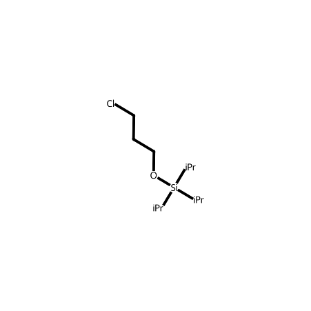 CC(C)[Si](OCCCCl)(C(C)C)C(C)C